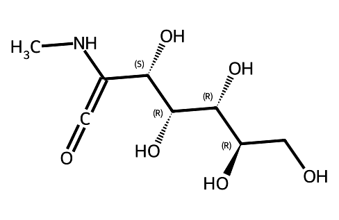 CNC(=C=O)[C@H](O)[C@@H](O)[C@H](O)[C@H](O)CO